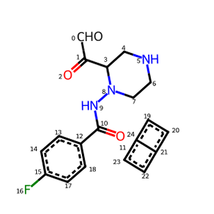 O=CC(=O)C1CNCCN1NC(=O)c1ccc(F)cc1.c1cc2ccc1-2